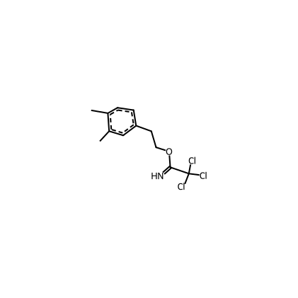 Cc1ccc(CCOC(=N)C(Cl)(Cl)Cl)cc1C